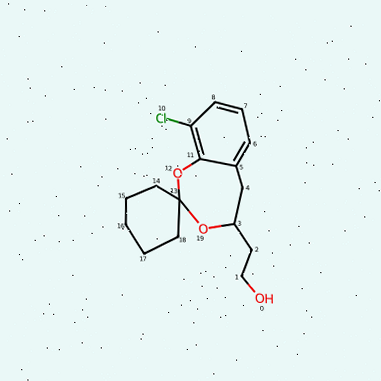 OCCC1Cc2cccc(Cl)c2OC2(CCCCC2)O1